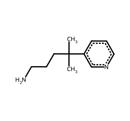 CC(C)(CCCN)c1cccnc1